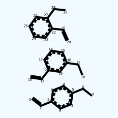 C=Cc1ccc(CC)cc1.C=Cc1cccc(CC)c1.C=Cc1ccccc1CC